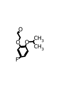 CC(C)Oc1ccc(F)cc1OCC=O